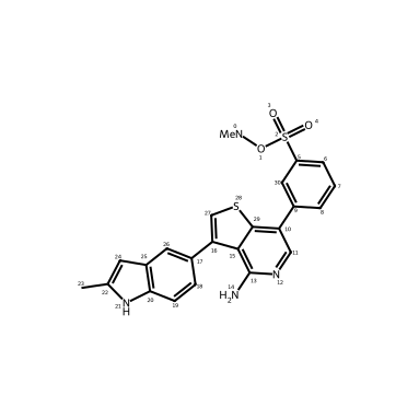 CNOS(=O)(=O)c1cccc(-c2cnc(N)c3c(-c4ccc5[nH]c(C)cc5c4)csc23)c1